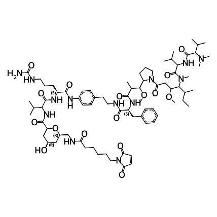 CCC(C)C(C(CC(=O)N1CCCC1C(OC)C(C)C(=O)N[C@@H](Cc1ccccc1)C(=O)NCCc1ccc(NC(=O)[C@H](CCCNC(N)=O)NC(=O)C(NC(=O)C2C[C@H](O)C[C@H](CNC(=O)CCCCCN3C(=O)C=CC3=O)O2)C(C)C)cc1)OC)N(C)C(=O)C(NC(=O)C(C(C)C)N(C)C)C(C)C